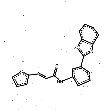 O=C(/C=C/c1ccco1)Nc1cccc(-c2nc3ccccc3o2)c1